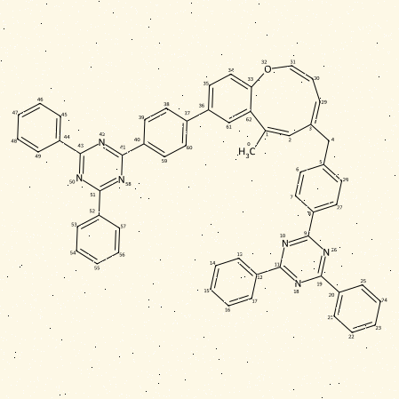 Cc1cc(Cc2ccc(-c3nc(-c4ccccc4)nc(-c4ccccc4)n3)cc2)cccoc2ccc(-c3ccc(-c4nc(-c5ccccc5)nc(-c5ccccc5)n4)cc3)cc12